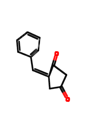 O=C1CC(=O)/C(=C\c2ccccc2)C1